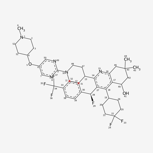 CN1CCC(Oc2cnc(N3CCC(c4nc5c(c(C6CCC(F)(F)CC6)c4[C@@H](F)c4ccc(C(F)(F)F)cc4)C(O)CC(C)(C)C5)CC3)nc2)CC1